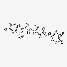 C[C@@]1(O)C[C@H](C(=O)NC23CC(C2)C(NC(=O)COc2ccc(Cl)c(F)c2)C3)Oc2ccc(Cl)cc21